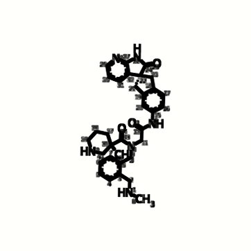 CNCc1ccccc1CN(CC(=O)Nc1ccc2c(c1)C[C@@]1(C2)C(=O)Nc2ncccc21)C(=O)C1(C)CCCNC1